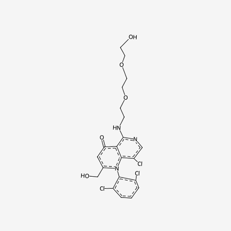 O=c1cc(CO)n(-c2c(Cl)cccc2Cl)c2c(Cl)cnc(NCCOCCOCCO)c12